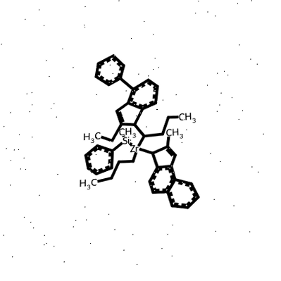 CCC[CH2][Zr]([CH]1C(C)=Cc2c1ccc1ccccc21)([CH](CCC)C1C(CC)=Cc2c(-c3ccccc3)cccc21)[Si](C)c1ccccc1